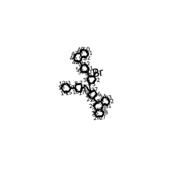 Brc1ccc(N(c2ccc(-c3ccccc3)cc2)c2ccc(-c3cc4ccccc4c4ccccc34)cc2)cc1-c1ccc(-c2cccc3ccccc23)cc1